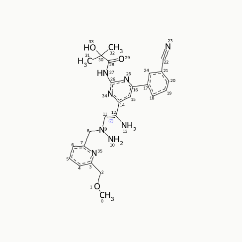 COCc1cccc(CN(N)/C=C(\N)c2cc(-c3cccc(C#N)c3)nc(NC(=O)C(C)(C)O)n2)n1